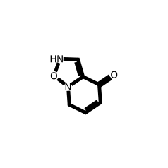 O=C1C=CCN2ONC=C12